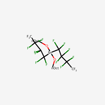 CCCCCCCC[O][Sn]([O]CCCCCCCC)([C](F)(F)C(F)(F)C(F)(F)C(F)(F)F)[C](F)(F)C(F)(F)C(F)(F)C(F)(F)F